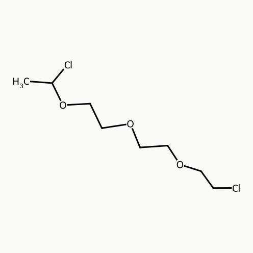 CC(Cl)OCCOCCOCCCl